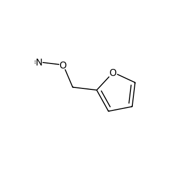 [N]OCc1ccco1